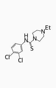 CCN1CCN(C(=S)Nc2ccc(Cl)c(Cl)c2)CC1